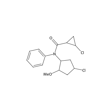 COC1CC(Cl)CC1N(C(=O)C1CC1Cl)c1ccccc1